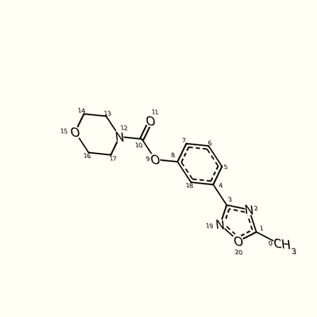 Cc1nc(-c2cccc(OC(=O)N3CCOCC3)c2)no1